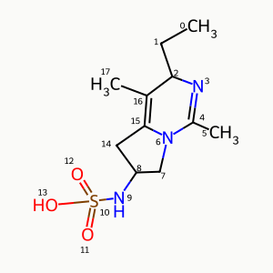 CCC1N=C(C)N2CC(NS(=O)(=O)O)CC2=C1C